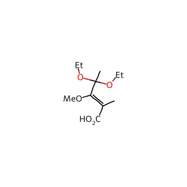 CCOC(C)(OCC)C(OC)=C(C)C(=O)O